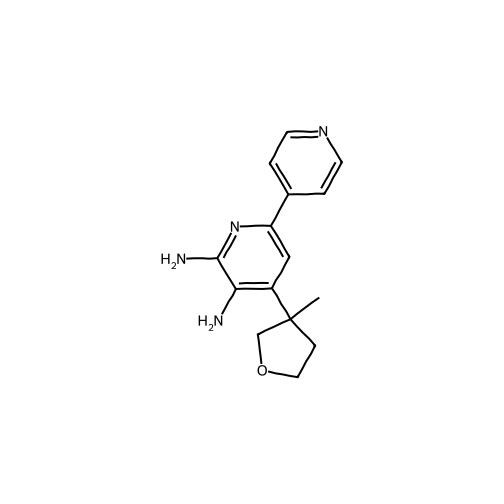 CC1(c2cc(-c3ccncc3)nc(N)c2N)CCOC1